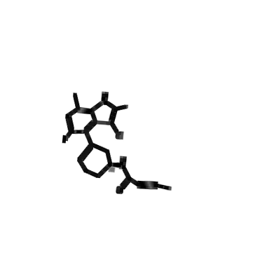 CC#CC(=O)N[C@H]1CCC=C(c2c(F)cc(C)c3[nH]c(C)c(Cl)c23)C1